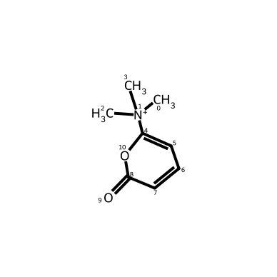 C[N+](C)(C)c1cccc(=O)o1